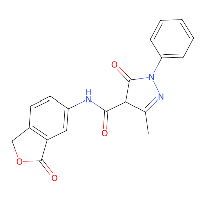 CC1=NN(c2ccccc2)C(=O)C1C(=O)Nc1ccc2c(c1)C(=O)OC2